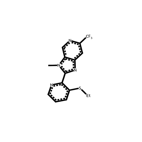 CCSc1cccnc1-c1nc2cc(C(F)(F)F)ncc2n1C